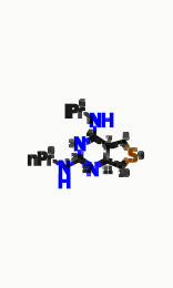 CCCNc1nc(NC(C)C)c2cscc2n1